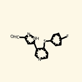 O=Cc1cc(-c2cnccc2Sc2ccc(F)cc2)[nH]n1